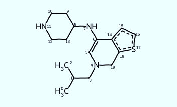 CC(C)CN1C=C(NC2CCNCC2)c2ccsc2C1